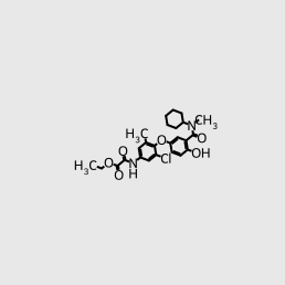 CCOC(=O)C(=O)Nc1cc(C)c(Oc2ccc(O)c(C(=O)N(C)C3CCCCC3)c2)c(Cl)c1